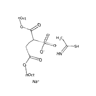 CC(=N)S.CCCCCCCCOC(=O)CC(C(=O)OCCCCCCCC)S(=O)(=O)[O-].[Na+]